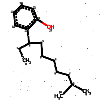 CCC(CCCCCC(C)C)c1ccccc1O